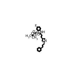 CC(C)(C)OC(=O)Nc1cc(F)ccc1NC(=O)/C=C/C1C=NN(C/C=C/c2ccccc2)C1